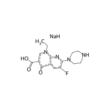 CCn1cc(C(=O)O)c(=O)c2cc(F)c(N3CCNCC3)nc21.[NaH]